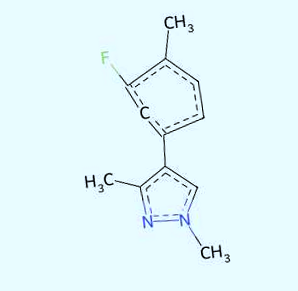 Cc1ccc(-c2cn(C)nc2C)cc1F